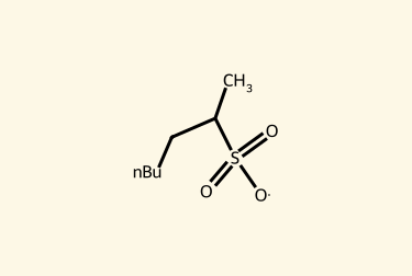 CCCCCC(C)S([O])(=O)=O